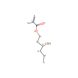 C=C(C)C(=O)OCCC(S)CCC